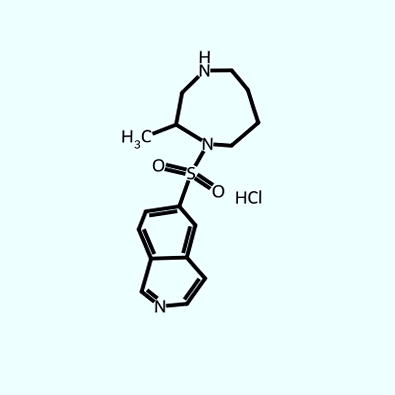 CC1CNCCCCN1S(=O)(=O)c1ccc2cnccc2c1.Cl